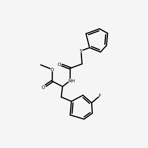 COC(=O)C(Cc1cccc(F)c1)NC(=O)CSc1ccccc1